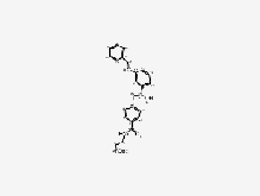 CCCCCCCCCCCCNC(=O)c1ccc(CN(O)c2cccc(OCc3ccccc3)c2)cc1